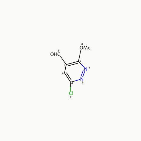 COc1nnc(Cl)cc1C=O